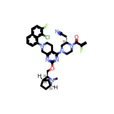 C=C(F)C(=O)N1CCN(c2nc(OC[C@@H]3[C@@H]4CC[C@@H](C4)N3C)nc3c2CCN(c2cccc4ccc(F)c(Cl)c24)C3)C[C@@H]1CC#N